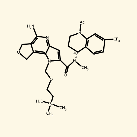 CC(=O)N1CC[C@@H](N(C)C(=O)c2cc3nc(N)c4c(c3n2COCC[Si](C)(C)C)COC4)c2ccc(C(F)(F)F)cc21